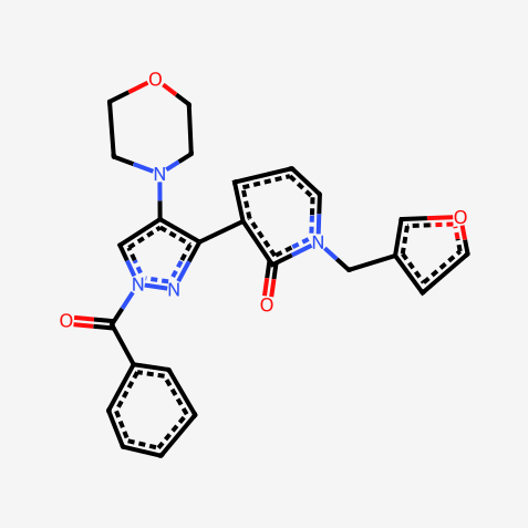 O=C(c1ccccc1)n1cc(N2CCOCC2)c(-c2cccn(Cc3ccoc3)c2=O)n1